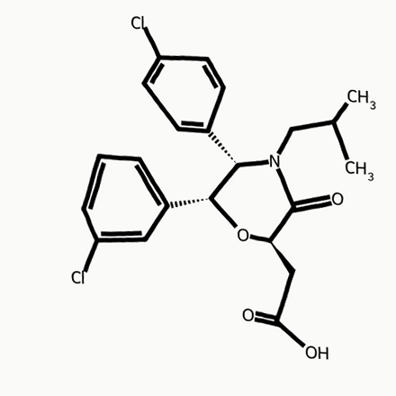 CC(C)CN1C(=O)[C@@H](CC(=O)O)O[C@H](c2cccc(Cl)c2)[C@@H]1c1ccc(Cl)cc1